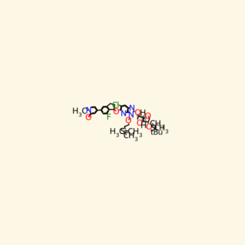 Cn1ccc(-c2cc(F)c3c(c2)CCC3Oc2nc3c(cc2Cl)nc(O[C@@H]2CO[C@@H]4C(O[Si](C)(C)C(C)(C)C)CO[C@@H]42)n3COCC[Si](C)(C)C)cc1=O